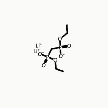 CCOP(=O)([O-])CP(=O)([O-])OCC.[Li+].[Li+]